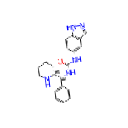 O=C(Nc1ccc2[nH]ncc2c1)N[C@H](c1ccccc1)[C@H]1CCCCN1